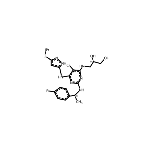 CC(C)Oc1cc(Nc2nc(N[C@@H](C)c3ccc(F)cc3)nc(NC[C@@H](O)CO)c2Cl)[nH]n1